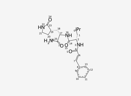 CC(C)C[C@H](NC(=O)/C=C/c1ccccc1)C(=O)N[C@@H](C[C@@H]1CCNC1=O)C(N)=O